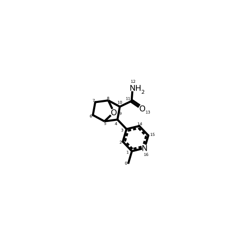 Cc1cc(C2C3CCC(O3)C2C(N)=O)ccn1